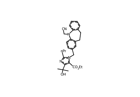 CCCc1nc(C(C)(C)O)c(C(=O)OCC)n1Cc1ccc2c(c1)CCc1ccccc1N2CC#N